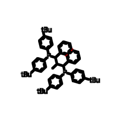 CC(C(c1ccccc1)P(c1ccc(C(C)(C)C)cc1)c1ccc(C(C)(C)C)cc1)C(c1ccccc1)P(c1ccc(C(C)(C)C)cc1)c1ccc(C(C)(C)C)cc1